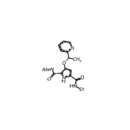 CCNC(=O)c1cc(OC(C)c2ccccn2)c(C(=O)NC)[nH]1